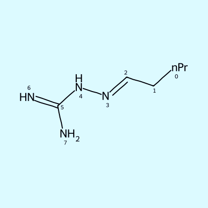 CCCCC=NNC(=N)N